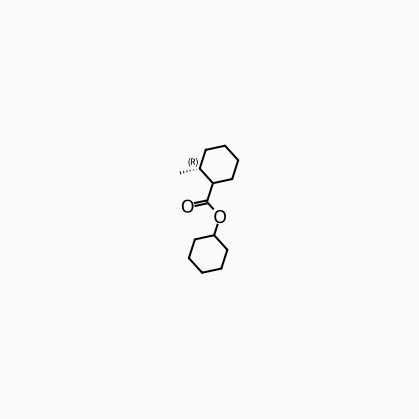 C[C@@H]1CCCCC1C(=O)OC1CCCCC1